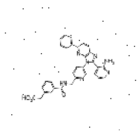 Nc1ncccc1-c1nc2ccc(-c3ccccc3)nc2n1-c1ccc(CNC(=O)c2cccc(CC(=O)O)c2)nc1